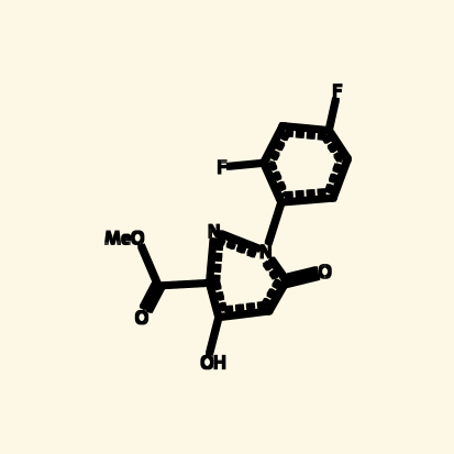 COC(=O)c1nn(-c2ccc(F)cc2F)c(=O)cc1O